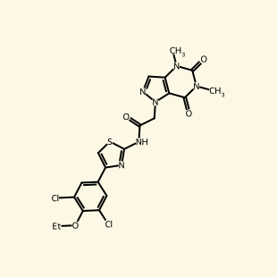 CCOc1c(Cl)cc(-c2csc(NC(=O)Cn3ncc4c3c(=O)n(C)c(=O)n4C)n2)cc1Cl